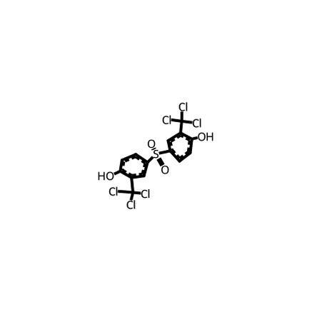 O=S(=O)(c1ccc(O)c(C(Cl)(Cl)Cl)c1)c1ccc(O)c(C(Cl)(Cl)Cl)c1